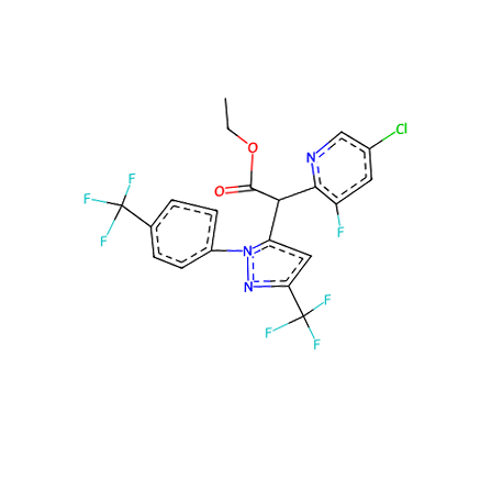 CCOC(=O)C(c1ncc(Cl)cc1F)c1cc(C(F)(F)F)nn1-c1ccc(C(F)(F)F)cc1